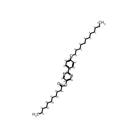 CCCCCCCCCCCCOc1ccc(-c2ncc(OC(=O)CCCCCCCCCC)cn2)cc1